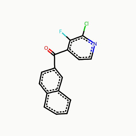 O=C(c1ccc2ccccc2c1)c1ccnc(Cl)c1F